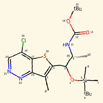 Cc1c(C(O[Si](C)(C)C(C)(C)C)[C@@H](C)NC(=O)OC(C)(C)C)sc2c(Cl)cnnc12